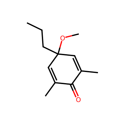 CCCC1(OC)C=C(C)C(=O)C(C)=C1